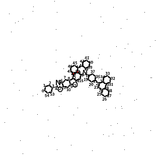 c1ccc(-c2nc3cc4c(cc3o2)oc2cc(N(c3ccc(-c5cc6ccccc6c6ccccc56)cc3)c3ccccc3-c3ccccc3)ccc24)cc1